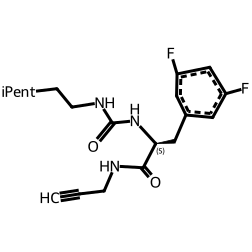 C#CCNC(=O)[C@H](Cc1cc(F)cc(F)c1)NC(=O)NCCC(C)CCC